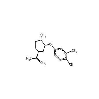 C=C(C)[C@H]1CC[C@H](C)[C@@H](Oc2ccc(C#N)c(C(F)(F)F)c2)C1